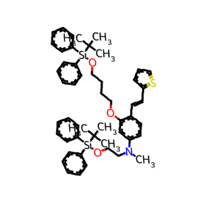 CN(CCO[Si](c1ccccc1)(c1ccccc1)C(C)(C)C)c1ccc(/C=C/c2cccs2)c(OCCCCO[Si](c2ccccc2)(c2ccccc2)C(C)(C)C)c1